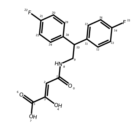 O=C(/C=C(\O)C(=O)O)NCC(c1ccc(F)cc1)c1ccc(F)cc1